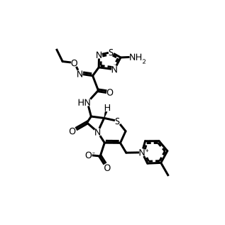 CCON=C(C(=O)NC1C(=O)N2C(C(=O)[O-])=C(C[n+]3cccc(C)c3)CS[C@@H]12)c1nsc(N)n1